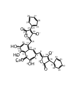 O=C1O/C(=C\c2cc(O)c(=O)c3c(O)c(O)cc(/C=C4\OC(=O)C(c5ccccc5)=C4[O-])c3c2)C([O-])=C1c1ccccc1.[Ca+2]